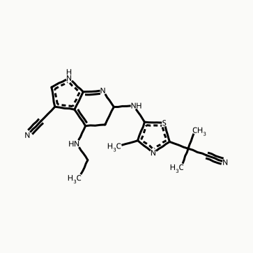 CCNC1=c2c(C#N)c[nH]c2=NC(Nc2sc(C(C)(C)C#N)nc2C)C1